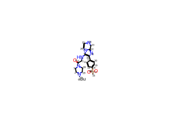 CCC(C)N1CCN(C(=O)CNc2c(-c3ccc(S(C)(=O)=O)cc3)nc3cnccn23)CC1